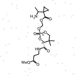 COC(=O)CCNC(=O)[C@@H]1O[P@@](=O)(OCOC(=O)C2(C(C)N)CC2)OCC1(C)C